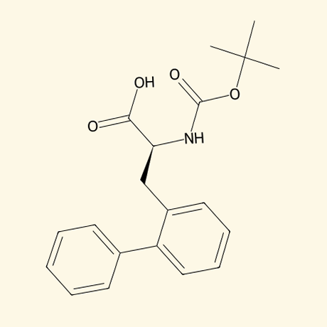 CC(C)(C)OC(=O)N[C@@H](Cc1ccccc1-c1ccccc1)C(=O)O